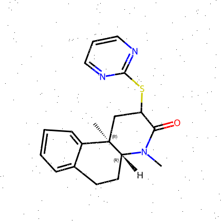 CN1C(=O)C(Sc2ncccn2)C[C@]2(C)c3ccccc3CC[C@@H]12